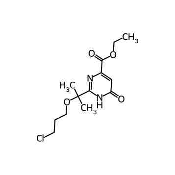 CCOC(=O)c1cc(=O)[nH]c(C(C)(C)OCCCCl)n1